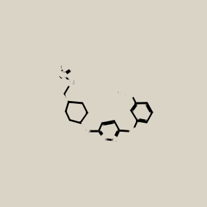 COc1cccc(Oc2ccc(N[C@H]3CC[C@H](CNS(=O)(=O)C(C)C)CC3)nn2)c1